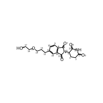 O=C1CCC(N2C(=O)c3ccc(CCCOCCO)cc3C2=O)C(=O)N1